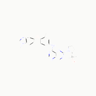 Cc1cc(Nc2ncnc3cnc(N4CCCC4C(C)(C)O)nc23)ccc1Oc1ccc2c(c1)ncn2C